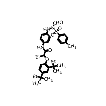 CCC(Oc1ccc(C(C)(C)CC)cc1C(C)(C)CC)C(=O)Nc1ccc(NN(C=O)S(=O)(=O)c2ccc(C)cc2)cc1